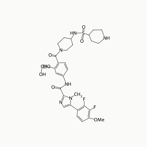 COc1ccc(-c2cnc(C(=O)Nc3ccc(C(=O)N4CCC(NS(=O)(=O)C5CCNCC5)CC4)c(Cl)c3)n2C)c(F)c1F.O=CO